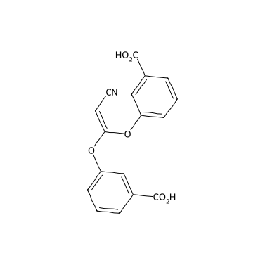 N#CC=C(Oc1cccc(C(=O)O)c1)Oc1cccc(C(=O)O)c1